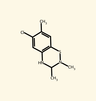 Cc1cc2c(cc1Cl)NC(C)N(C)S2